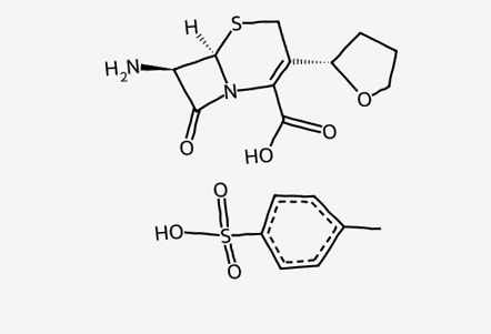 Cc1ccc(S(=O)(=O)O)cc1.N[C@@H]1C(=O)N2C(C(=O)O)=C([C@@H]3CCCO3)CS[C@H]12